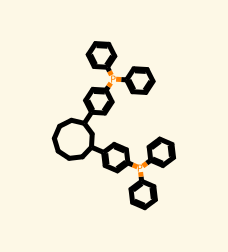 c1ccc(P(c2ccccc2)c2ccc(C3CCCCCCC(c4ccc(P(c5ccccc5)c5ccccc5)cc4)C3)cc2)cc1